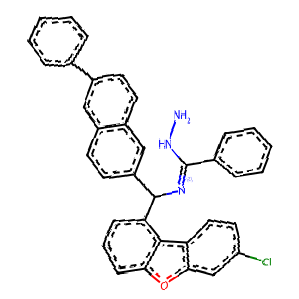 NN/C(=N\C(c1ccc2cc(-c3ccccc3)ccc2c1)c1cccc2oc3cc(Cl)ccc3c12)c1ccccc1